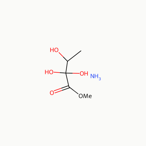 COC(=O)C(O)(O)C(C)O.N